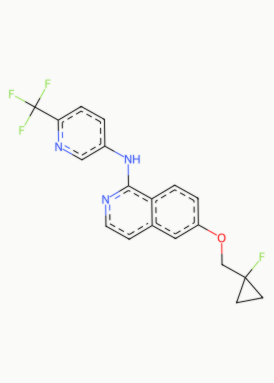 FC1(COc2ccc3c(Nc4ccc(C(F)(F)F)nc4)nccc3c2)CC1